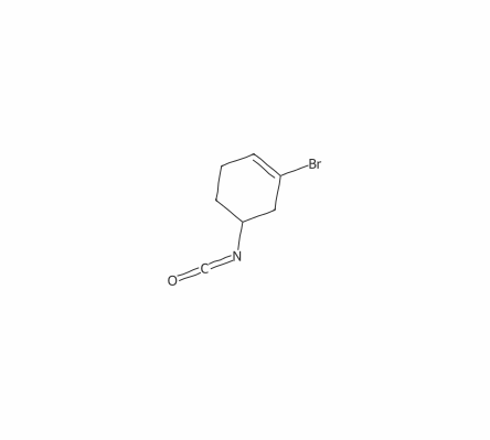 O=C=NC1CCC=C(Br)C1